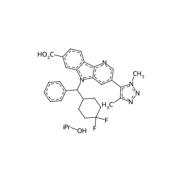 CC(C)O.Cc1nnn(C)c1-c1cnc2c3ccc(C(=O)O)cc3n(C(c3ccccc3)C3CCC(F)(F)CC3)c2c1